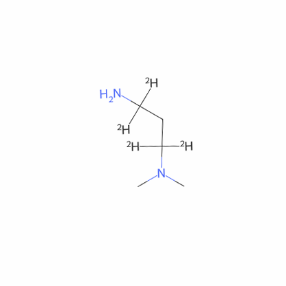 [2H]C([2H])(N)CC([2H])([2H])N(C)C